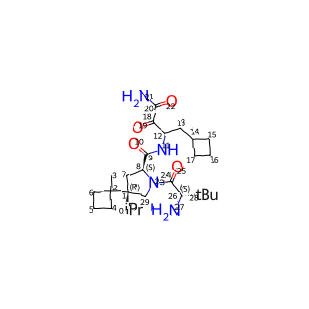 CC(C)[C@@]1(C2(C)CCC2)C[C@@H](C(=O)NC(CC2CCC2)C(=O)C(N)=O)N(C(=O)[C@@H](N)C(C)(C)C)C1